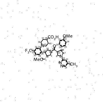 COC[C@H]1CN(C(=O)[C@@H]2CN(c3cc(C)cnn3)C[C@H]2c2ccc(OC)cc2)C[C@@H]1c1ccc(C(F)(F)F)cc1N1CCC(C(=O)O)CC1